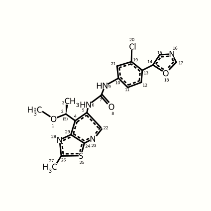 CO[C@@H](C)c1c(NC(=O)Nc2ccc(-c3cnco3)c(Cl)c2)cnc2sc(C)nc12